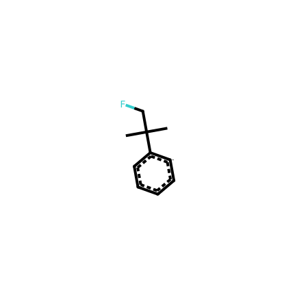 CC(C)(CF)c1[c]cccc1